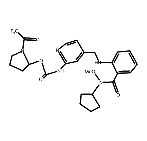 CON(C(=O)c1ccccc1NCc1ccnc(NC(=O)OC2CCCN2C(=O)C(F)(F)F)c1)C1CCCC1